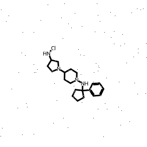 ClNC1CCN(C2CCN(NC3(c4ccccc4)CCCC3)CC2)C1